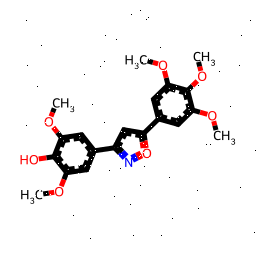 COc1cc(-c2cc(-c3cc(OC)c(OC)c(OC)c3)on2)cc(OC)c1O